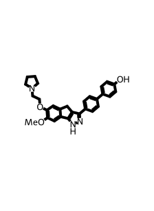 COc1cc2c(cc1OCCN1CCCC1)Cc1c(-c3ccc(-c4ccc(O)cc4)cc3)n[nH]c1-2